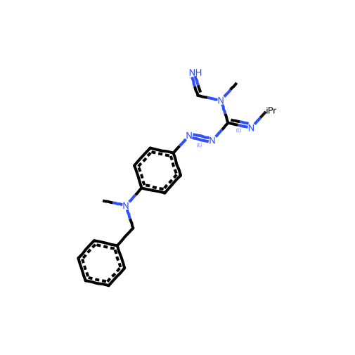 CC(C)/N=C(/N=N/c1ccc(N(C)Cc2ccccc2)cc1)N(C)C=N